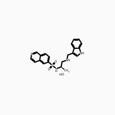 C[C@H](CNCc1c[nH]c2ccccc12)NS(=O)(=O)c1ccc2cnccc2c1.Cl